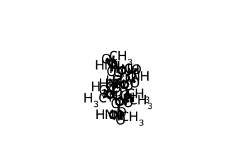 CNP(=O)(OCC1CNCC(n2cc(C)c(=O)[nH]c2=O)O1)N1CC(COP(=O)(N(C)C)N2CC(COP(C)(=O)N3CCNCC3)OC(n3cc(C)c(=O)[nH]c3=O)C2)OC(n2cc(C)c(=O)[nH]c2=O)C1